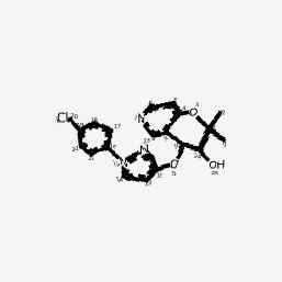 CC1(C)Oc2ccncc2C(Oc2ccn(-c3ccc(Cl)cc3)n2)C1O